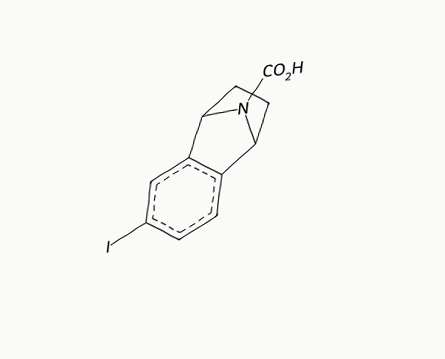 O=C(O)N1C2CCC1c1cc(I)ccc12